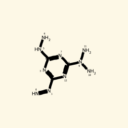 N=Nc1nc(NN)nc(N(N)N)n1